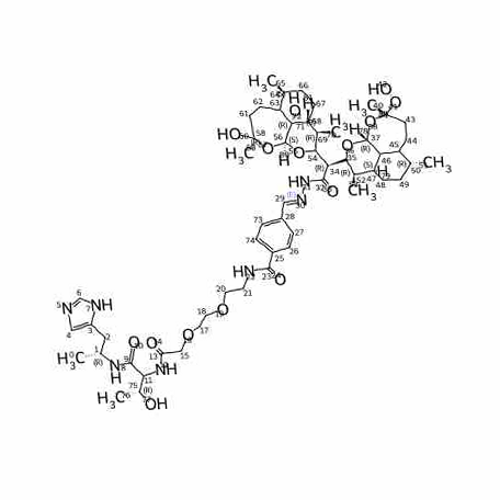 C[C@H](Cc1cnc[nH]1)NC(=O)C(NC(=O)COCCOCCNC(=O)c1ccc(/C=N/NC(=O)[C@H](C2O[C@@H]3O[C@](C)(OO)CCC4C3[C@@H](CC[C@H]4C)[C@H]2C)C2O[C@H]3O[C@@](C)(O)CCC4[C@@H](C)CC[C@H]([C@H]2C)[C@]43O)cc1)[C@@H](C)O